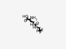 NC(CCNC(=O)NCC(F)(F)F)C(=O)O